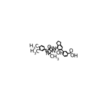 CC1=NN(c2ccc(C)c(C)c2)C(=O)/C1=N\Nc1c(O)c(-c2cccc(C(=O)O)c2)cc2c1CCC2